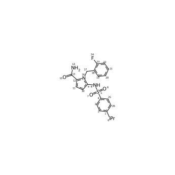 CC(C)c1ccc(S(=O)(=O)Nc2ccc(C(N)=O)n2Cc2ccccc2F)cc1